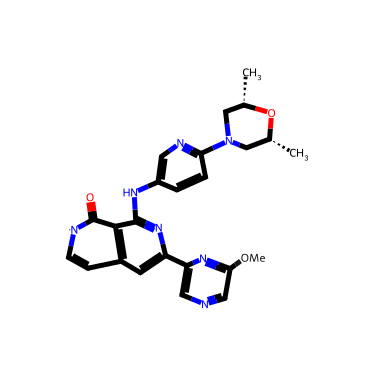 COc1cncc(-c2cc3c(c(Nc4ccc(N5C[C@@H](C)O[C@@H](C)C5)nc4)n2)C(=O)[N]C=C3)n1